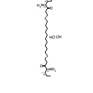 CC[C@H](C)[C@H](N)C(=O)CCSCCCCCCCCCCSCCC(=O)[C@@H](N)[C@@H](C)CC.Cl.Cl